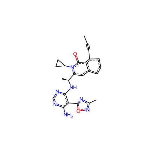 CC#Cc1cccc2cc([C@H](C)Nc3ncnc(N)c3-c3nc(C)no3)n(C3CC3)c(=O)c12